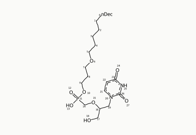 CCCCCCCCCCCCCCCOCCCOP(=O)(O)COC(CO)Cn1ccc(=O)[nH]c1=O